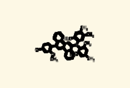 COc1cc(Cl)ccc1-c1cc2c3ccccc3c(B(c3cc(C)c(C)cc3C)c3c(C)cc(C)cc3C)cc2c2ccccc12